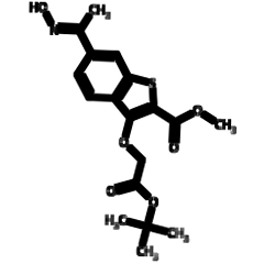 COC(=O)c1sc2cc(C(C)=NO)ccc2c1OCC(=O)OC(C)(C)C